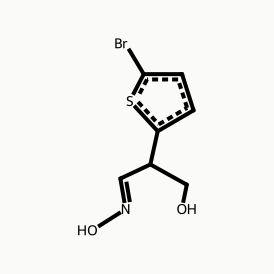 OCC(C=NO)c1ccc(Br)s1